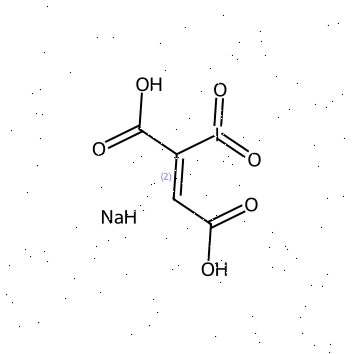 O=C(O)/C=C(/C(=O)O)I(=O)=O.[NaH]